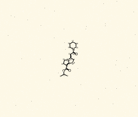 CC(C)OC(=O)C1=C2SC/C(=C\C(=O)N3CCCCC3)N2CC1